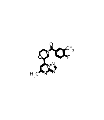 Cc1cc(C2CN(C(=O)c3ccc(F)c(C(F)(F)F)c3)CCO2)n2ncnc2n1